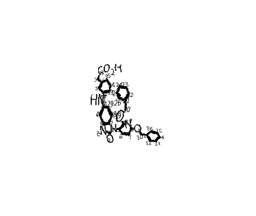 Cn1c(=O)n(-c2ccc(OCc3ccccc3)nc2OCc2ccccc2)c2ccc(Nc3cccc(CC(=O)O)c3)cc21